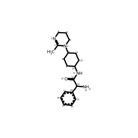 CC1=NCCCN1C1CCC(NC(=O)C(N)c2ccccc2)CC1